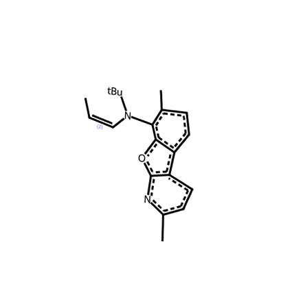 C/C=C\N(c1c(C)ccc2c1oc1nc(C)ccc12)C(C)(C)C